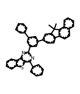 CC1(C)c2cc(-c3cc(-c4ccccc4)cc(-c4nc(-c5ccccc5)c5sc6ccccc6c5n4)c3)ccc2-c2ccc3ccccc3c21